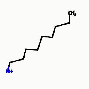 CCCCCCCCC[NH]